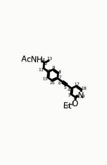 CCOc1cc(C#Cc2ccc(CC(C)NC(C)=O)cc2)ccn1